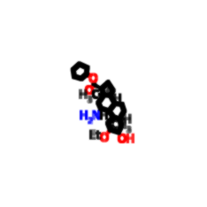 CCO[C@H]1C[C@@]2(C)[C@@H](CC[C@@H]3[C@@H]2[C@H](N)C[C@]2(C)[C@@H](C(=O)OC4CCCCC4)CC[C@@H]32)C[C@@H]1O